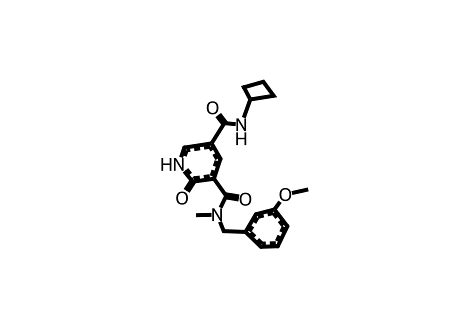 COc1cccc(CN(C)C(=O)c2cc(C(=O)NC3CCC3)c[nH]c2=O)c1